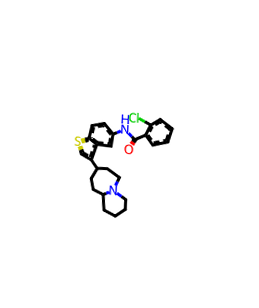 O=C(Nc1ccc2scc(C3CCC4CCCCN4CC3)c2c1)c1ccccc1Cl